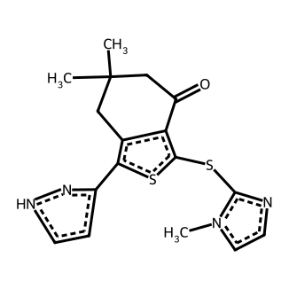 Cn1ccnc1Sc1sc(-c2cc[nH]n2)c2c1C(=O)CC(C)(C)C2